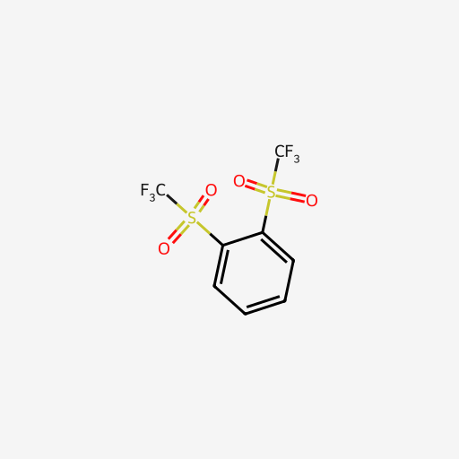 O=S(=O)(c1ccccc1S(=O)(=O)C(F)(F)F)C(F)(F)F